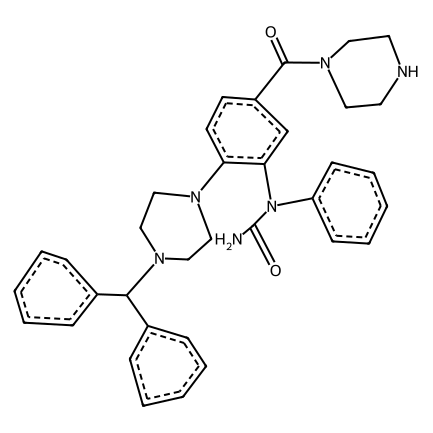 NC(=O)N(c1ccccc1)c1cc(C(=O)N2CCNCC2)ccc1N1CCN(C(c2ccccc2)c2ccccc2)CC1